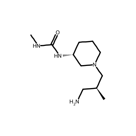 CNC(=O)N[C@@H]1CCCN(C[C@@H](C)CN)C1